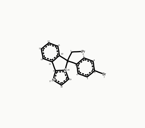 CC(C)CC1(c2ccc(Br)cc2)c2ccccc2-c2nccn21